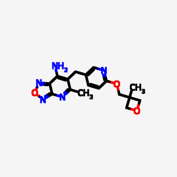 Cc1nc2nonc2c(N)c1Cc1ccc(OCC2(C)COC2)nc1